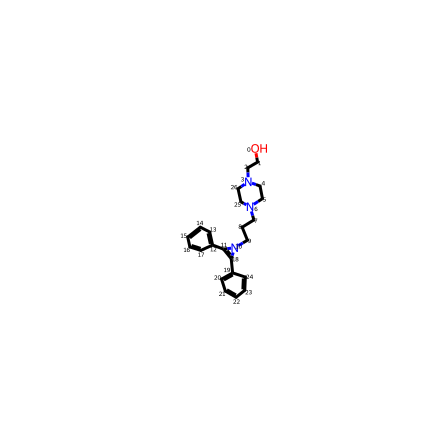 OCCN1CCN(CCCN2C(c3ccccc3)=C2c2ccccc2)CC1